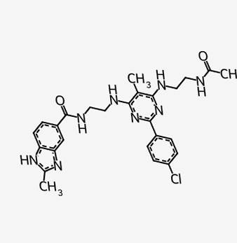 CC(=O)NCCNc1nc(-c2ccc(Cl)cc2)nc(NCCNC(=O)c2ccc3[nH]c(C)nc3c2)c1C